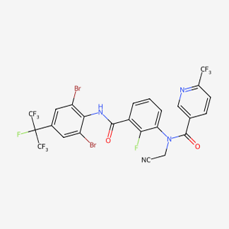 N#CCN(C(=O)c1ccc(C(F)(F)F)nc1)c1cccc(C(=O)Nc2c(Br)cc(C(F)(C(F)(F)F)C(F)(F)F)cc2Br)c1F